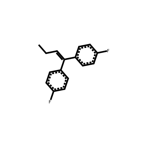 CCC=C(c1ccc(F)cc1)c1ccc(F)cc1